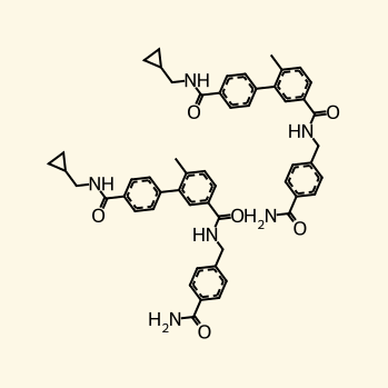 Cc1ccc(C(=O)NCc2ccc(C(N)=O)cc2)cc1-c1ccc(C(=O)NCC2CC2)cc1.Cc1ccc(C(=O)NCc2ccc(C(N)=O)cc2)cc1-c1ccc(C(=O)NCC2CC2)cc1